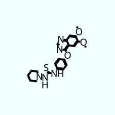 COc1cc2ncnc(Oc3ccc(NC(=S)NN4CCCCC4)cc3)c2cc1OC